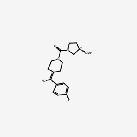 CO[C@@H]1CCN(C(=O)N2CCC(=C(C#N)c3ccc(F)cc3)CC2)C1